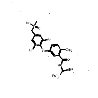 CCOC(=O)C(NC(=O)c1cc(Oc2c(Br)cc(CP(C)(=O)O)cc2Br)ccc1O)C(C)CC